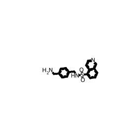 NCc1ccc(CNS(=O)(=O)c2cccc3cnccc23)cc1